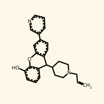 C=CCN1CCC(C2c3ccc(-c4cccnc4)cc3Oc3c(O)cccc32)CC1